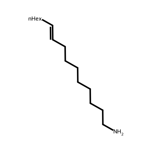 CCCCCC/C=C/CCCCCCCCN